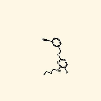 CCOCNc1nc(OCc2cccc(C#N)c2)ncc1F